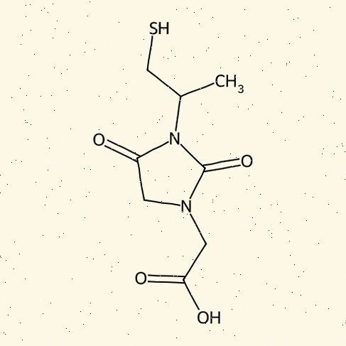 CC(CS)N1C(=O)CN(CC(=O)O)C1=O